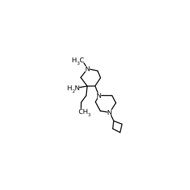 CCCC1(N)CN(C)CCC1N1CCN(C2CCC2)CC1